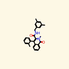 Cc1cc(C)cc(CNC(=O)c2c(-c3ccccc3C)c3ccccc3c(=O)n2C)c1